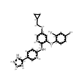 Fc1ccc(Oc2cc(SCC3CC3)cnc2Nc2ccc(-c3nnn[nH]3)cn2)c(F)c1